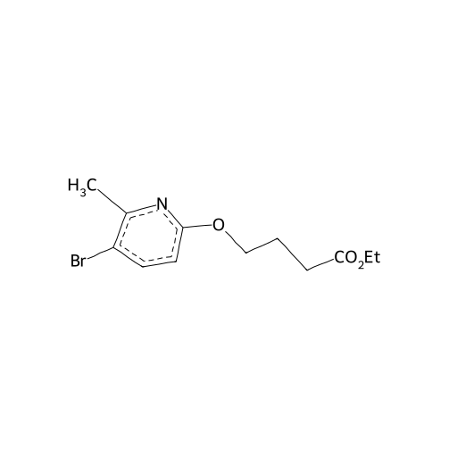 CCOC(=O)CCCOc1ccc(Br)c(C)n1